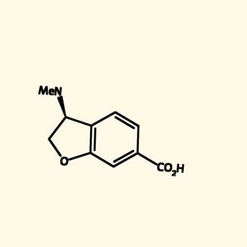 CN[C@@H]1COc2cc(C(=O)O)ccc21